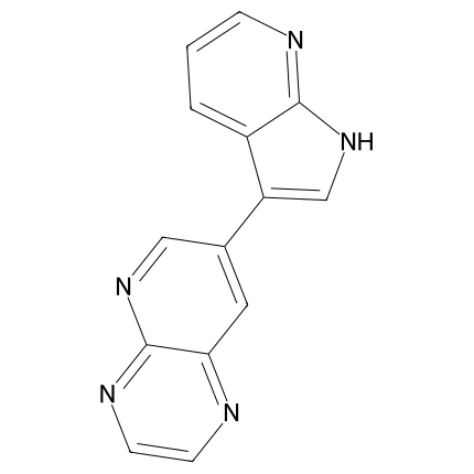 c1cnc2[nH]cc(-c3cnc4nccnc4c3)c2c1